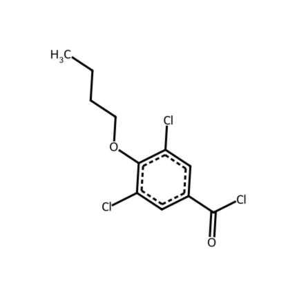 CCCCOc1c(Cl)cc(C(=O)Cl)cc1Cl